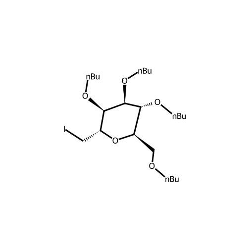 CCCCOC[C@H]1O[C@H](CI)[C@@H](OCCCC)[C@@H](OCCCC)[C@@H]1OCCCC